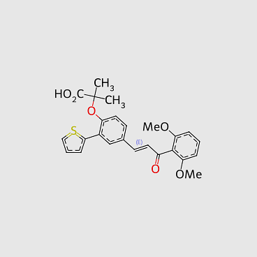 COc1cccc(OC)c1C(=O)/C=C/c1ccc(OC(C)(C)C(=O)O)c(-c2cccs2)c1